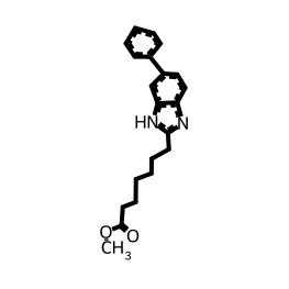 COC(=O)CCCCCCc1nc2ccc(-c3ccccc3)cc2[nH]1